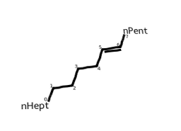 [CH2]CCCCCCCCCCC=CCCCCC